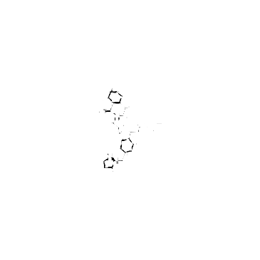 O=C(O)CCc1ccc(Cn2cccn2)cc1OCCN1CCc2ccccc2C1=O